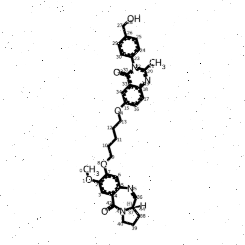 COc1cc2c(cc1OCCCCCOc1ccc3nc(C)n(-c4ccc(CO)cc4)c(=O)c3c1)N=C[C@@H]1CCCN1C2=O